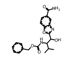 CC(C)C(NC(=O)OCc1ccccc1)C(O)c1nc2cc(C(N)=O)ccc2o1